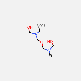 CCN(CO)COCN(CO)COC